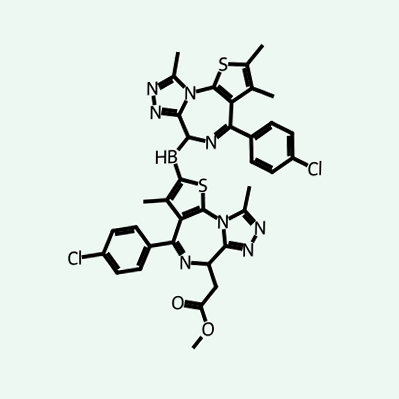 COC(=O)CC1N=C(c2ccc(Cl)cc2)c2c(sc(BC3N=C(c4ccc(Cl)cc4)c4c(sc(C)c4C)-n4c(C)nnc43)c2C)-n2c(C)nnc21